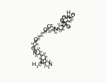 Cn1c2ccncc2c2ccc(-c3ccc(OC4CC(OCCCCCOC(CC5CN(c6ccc7c(c6)C(=O)N(C6CCC(=O)NC6=O)C7=O)C5)C(F)(F)F)C4)nc3)cc21